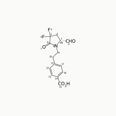 O=C[C@H]1CC(F)(F)C(=O)N1CCc1ccc(C(=O)O)cc1